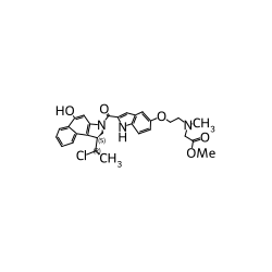 COC(=O)CN(C)CCOc1ccc2[nH]c(C(=O)N3C[C@@H]([C@@H](C)Cl)c4c3cc(O)c3ccccc43)cc2c1